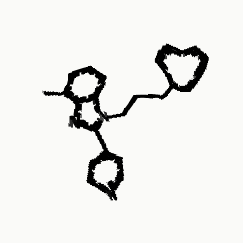 Cc1cccc2c1nc(-c1ccncc1)n2CCCc1ccccc1